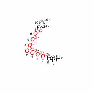 [Fe+3].[Fe+3].[O-2].[O-2].[O-2].[O-2].[O-2].[O-2].[O-2].[Pt+4].[Pt+4]